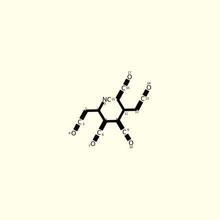 [C-]#[N+]C(C=C=O)C(=C=O)C(=C=O)C(C=C=O)C=C=O